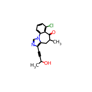 CC(O)C#Cc1ncn2c1CC(C)C(=O)c1c(Cl)cccc1-2